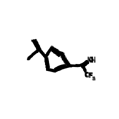 C=C(C)c1ccc(C(=N)C(F)(F)F)cc1